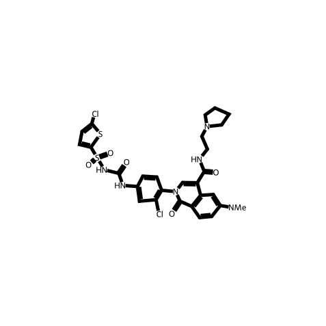 CNc1ccc2c(=O)n(-c3ccc(NC(=O)NS(=O)(=O)c4ccc(Cl)s4)cc3Cl)cc(C(=O)NCCN3CCCC3)c2c1